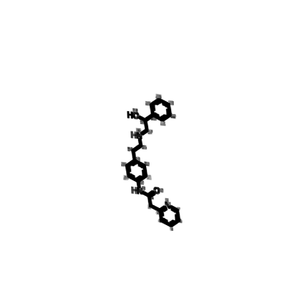 O=C(Cc1ccccn1)Nc1ccc(CCNCC(O)c2ccccc2)cc1